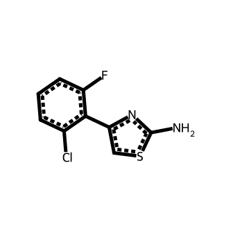 Nc1nc(-c2c(F)cccc2Cl)cs1